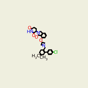 CC1(C)CCC(CN2CC(Oc3cccc4c3C(=O)N(C3CCC(=O)NC3=O)C4)C2)=C(c2ccc(Cl)cc2)C1